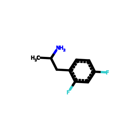 CC(N)Cc1ccc(F)cc1F